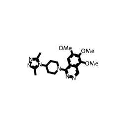 COc1cc2c(N3CCC(n4c(C)nnc4C)CC3)nncc2c(OC)c1OC